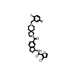 O=C(NC1CCc2ccc(C(=O)N3CCC4(CCN(Cc5cc(F)ccc5F)CC4)C3)cc21)c1sccc1Cl